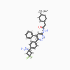 CC(=O)NC1CCC(CC(=O)Nc2cc(-c3ccccc3)c(-c3ccc(C4(N)CC(F)(F)C4)cc3)nn2)CC1